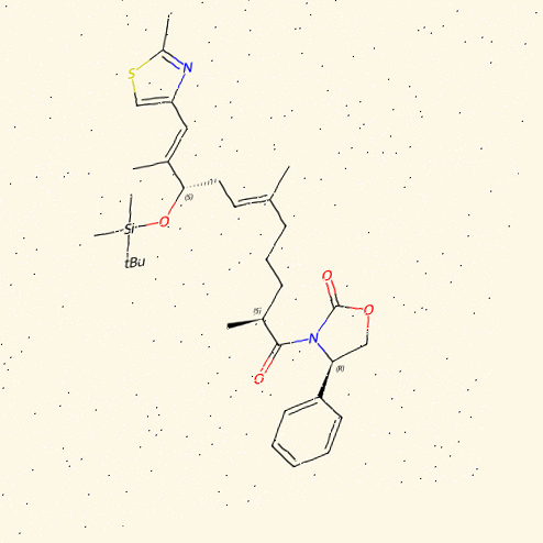 CC(=CC[C@H](O[Si](C)(C)C(C)(C)C)C(C)=Cc1csc(C)n1)CCC[C@H](C)C(=O)N1C(=O)OC[C@H]1c1ccccc1